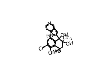 COc1c(Cl)ccc2c1C(C)(C)CC(O)(C(F)(F)F)C2(O)c1cc2cnccc2[nH]1